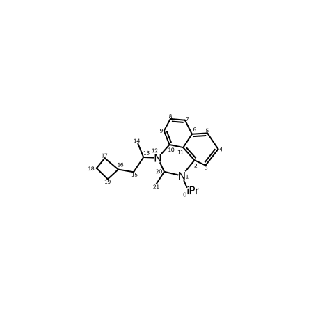 CC(C)N1c2cccc3cccc(c23)N(C(C)CC2CCC2)C1C